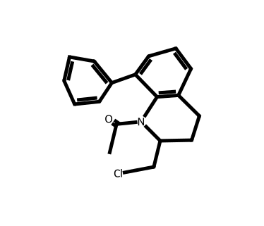 CC(=O)N1c2c(cccc2-c2ccccc2)CCC1CCl